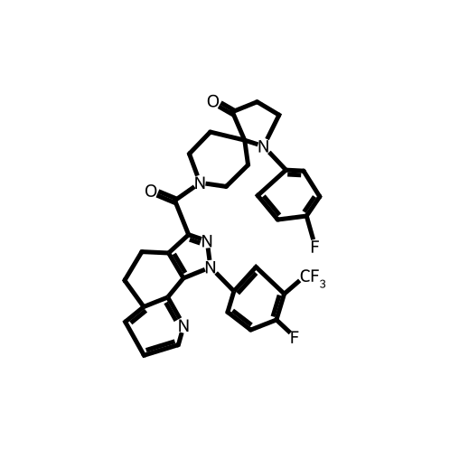 O=C(c1nn(-c2ccc(F)c(C(F)(F)F)c2)c2c1CCc1cccnc1-2)N1CCC2(CC1)C(=O)CCN2c1ccc(F)cc1